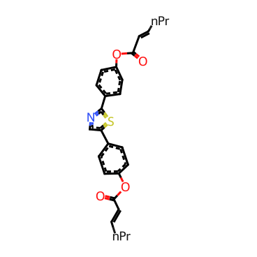 CCCC=CC(=O)Oc1ccc(-c2cnc(-c3ccc(OC(=O)C=CCCC)cc3)s2)cc1